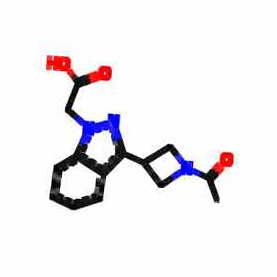 CC(=O)N1CC(c2nn(CC(=O)O)c3ccccc23)C1